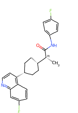 C[C@@H](C(=O)Nc1ccc(F)cc1)[C@H]1CC[C@@H](c2ccnc3cc(F)ccc32)CC1